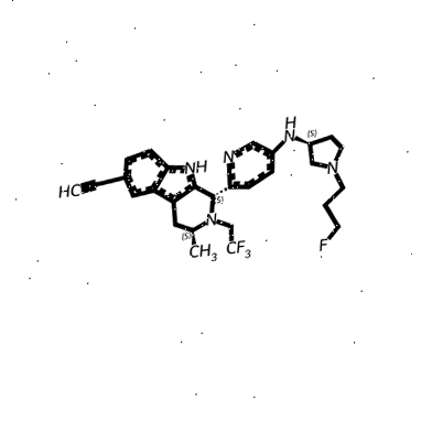 C#Cc1ccc2[nH]c3c(c2c1)C[C@H](C)N(CC(F)(F)F)[C@H]3c1ccc(N[C@H]2CCN(CCCF)C2)cn1